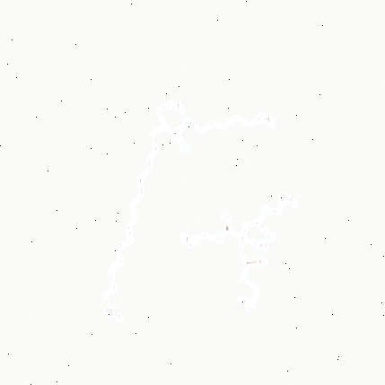 CCCCCCCCCCCCCCCCC(CC)C(=O)OCCCCCC.CCOC(=O)CC(O)(CC(=O)OCC)C(=O)OCC